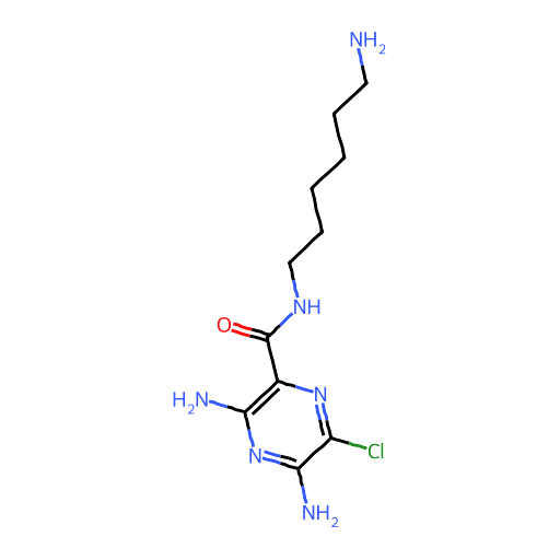 NCCCCCCNC(=O)c1nc(Cl)c(N)nc1N